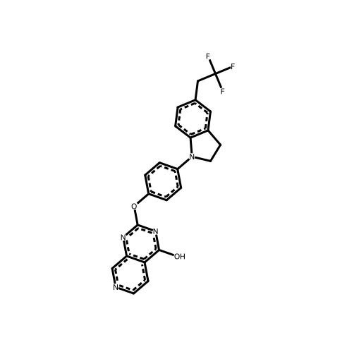 Oc1nc(Oc2ccc(N3CCc4cc(CC(F)(F)F)ccc43)cc2)nc2cnccc12